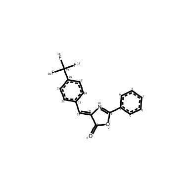 O=C1OC(c2ccccc2)=NC1=Cc1ccc(C(F)(F)F)cc1